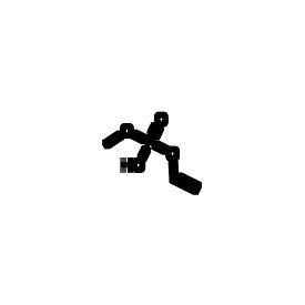 C=COP(=O)(O)OC